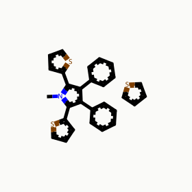 Cn1c(-c2cccs2)c(-c2ccccc2)c(-c2ccccc2)c1-c1cccs1.c1ccsc1